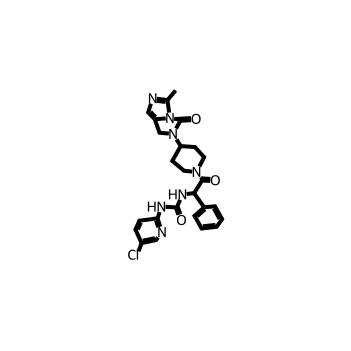 Cc1ncc2n1C(=O)N(C1CCN(C(=O)C(NC(=O)Nc3ccc(Cl)cn3)c3ccccc3)CC1)C2